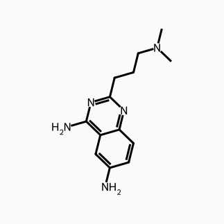 CN(C)CCCc1nc(N)c2cc(N)ccc2n1